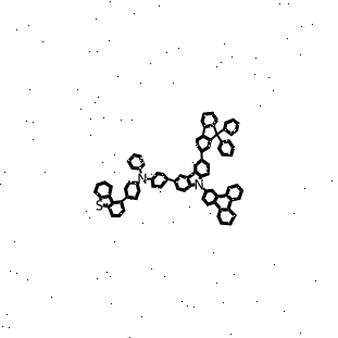 c1ccc(N(c2ccc(-c3ccc4c(c3)c3cc(-c5ccc6c(c5)C(c5ccccc5)(c5ccccc5)c5ccccc5-6)ccc3n4-c3ccc4c5ccccc5c5ccccc5c4c3)cc2)c2ccc(-c3cccc4sc5ccccc5c34)cc2)cc1